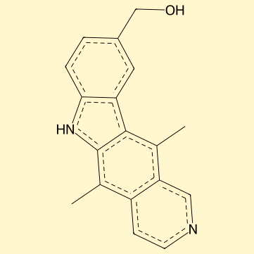 Cc1c2ccncc2c(C)c2c1[nH]c1ccc(CO)cc12